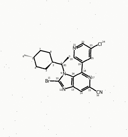 C[C@H]([C@H]1CC[C@H](C)CC1)n1c(Br)nc2cc(C#N)nc(-c3cncc(Cl)c3)c21